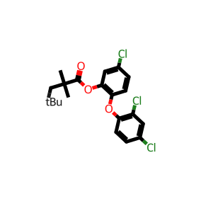 CC(C)(C)CC(C)(C)C(=O)Oc1cc(Cl)ccc1Oc1ccc(Cl)cc1Cl